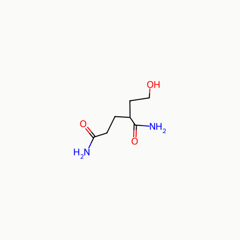 NC(=O)CCC(CCO)C(N)=O